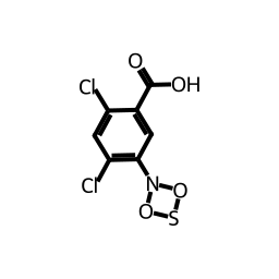 O=C(O)c1cc(N2OSO2)c(Cl)cc1Cl